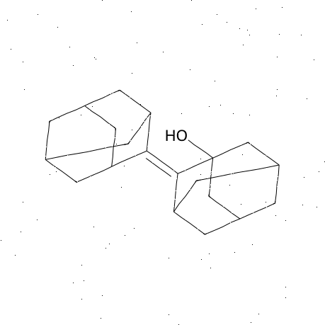 OC12CC3CC(CC(C3)C1=C1C3CC4CC(C3)CC1C4)C2